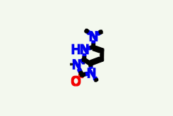 CN(C)C1=CC=C2C(=[N+]C(=O)N2C)N1